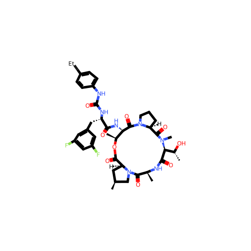 CCc1ccc(NC(=O)N[C@@H](Cc2cc(F)cc(F)c2)C(=O)N[C@@H]2C(=O)N3CCC[C@H]3C(=O)N(C)[C@@H]([C@@H](C)O)C(=O)N[C@@H](C)C(=O)N3C[C@@H](C)C[C@H]3C(=O)O[C@H]2C)cc1